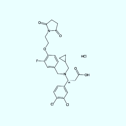 Cl.O=C(O)C[C@H](c1ccc(Cl)c(Cl)c1)N(Cc1ccc(OCCN2C(=O)CCC2=O)c(F)c1)CC1CC1